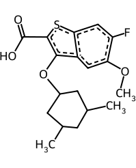 COc1cc2c(OC3CC(C)CC(C)C3)c(C(=O)O)sc2cc1F